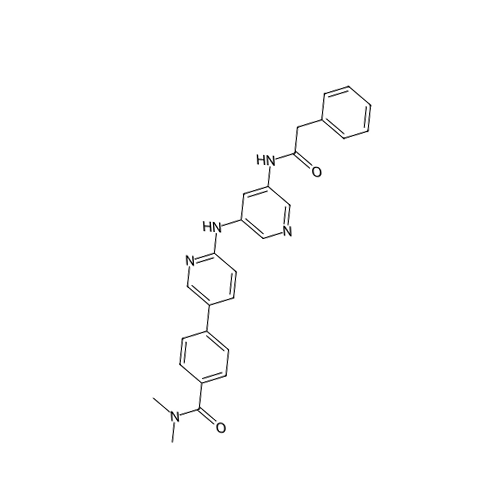 CN(C)C(=O)c1ccc(-c2ccc(Nc3cncc(NC(=O)Cc4ccccc4)c3)nc2)cc1